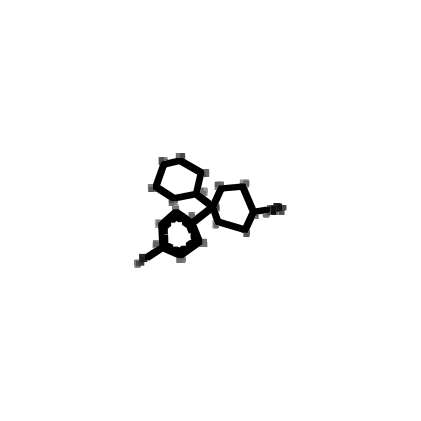 CCCC1CCC(c2ccc(F)cc2)(C2CCCCC2)CC1